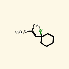 CC(=CC1(Br)CCCCC1)C(=O)O